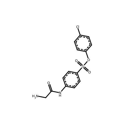 NCC(=O)Nc1ccc(S(=O)(=O)Oc2ccc(Cl)cc2)cc1